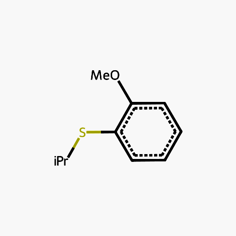 COc1ccccc1SC(C)C